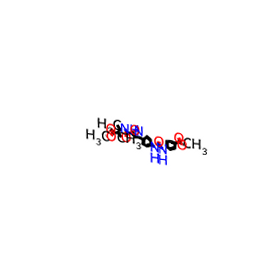 COC(=O)c1ccc(NC(=O)Nc2ccc(-c3cc(C(=O)NC(C)C(C)C(=O)OC)on3)cc2)cc1